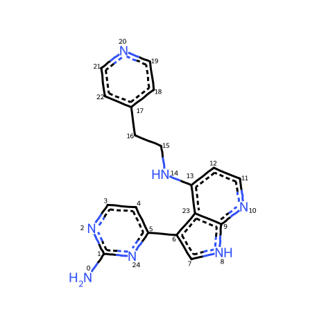 Nc1nccc(-c2c[nH]c3nccc(NCCc4ccncc4)c23)n1